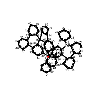 c1ccc(N(c2ccc3c(c2)-c2ccccc2-c2ccccc2N3c2ccccc2)c2ccc3c(c2)C2(c4ccccc4-c4ccccc4-3)c3ccccc3-c3cc4oc5ccccc5c4cc32)cc1